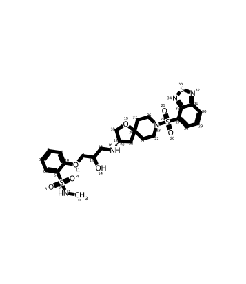 CNS(=O)(=O)c1ccccc1OCC(O)CN[C@@H]1COC2(CCN(S(=O)(=O)c3cccc4nsnc34)CC2)C1